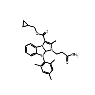 CC1=C(C(=O)OCC2CC2)N2c3ccccc3N(c3c(C)cc(C)cc3C)C2N1CCC(N)=O